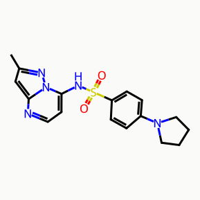 Cc1cc2nccc(NS(=O)(=O)c3ccc(N4CCCC4)cc3)n2n1